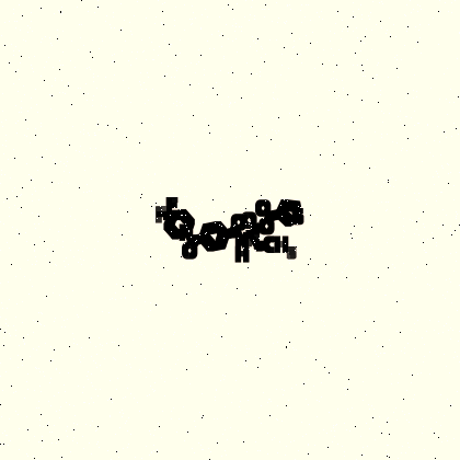 CCN(NC(=O)c1ccc(C(=O)N2CCC(F)(F)CC2)cc1)C(=O)OC(=O)c1ccsc1